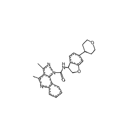 Cc1nc2ccccc2c2c1c(C)nn2C(=O)NC1COc2cc(C3CCOCC3)ccc21